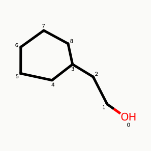 OCCC1CCCCC1